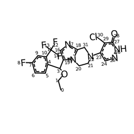 CCOC(c1ccc(F)cc1C(F)(F)F)c1cnc2n1CCN(c1cn[nH]c(=O)c1Cl)C2